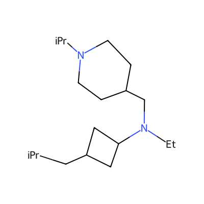 CCN(CC1CCN(C(C)C)CC1)C1CC(CC(C)C)C1